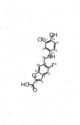 O=C(O)c1cc2cc(F)c(CNc3ccc(O)c(Cl)c3)cc2o1